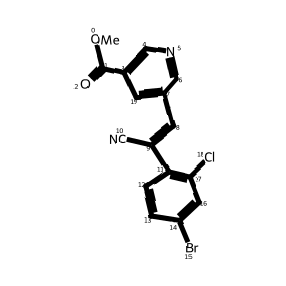 COC(=O)c1cncc(/C=C(\C#N)c2ccc(Br)cc2Cl)c1